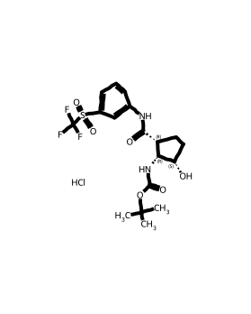 CC(C)(C)OC(=O)N[C@H]1[C@@H](O)CC[C@H]1C(=O)Nc1cccc(S(=O)(=O)C(F)(F)F)c1.Cl